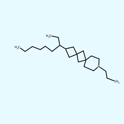 CCCCCCC(CC)C1CC2(C1)CC1(CCN(CCC)CC1)C2